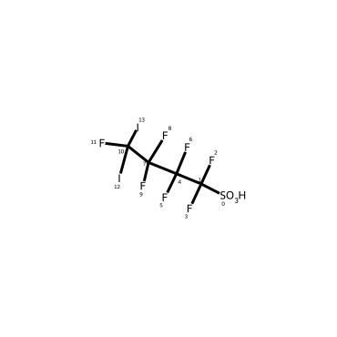 O=S(=O)(O)C(F)(F)C(F)(F)C(F)(F)C(F)(I)I